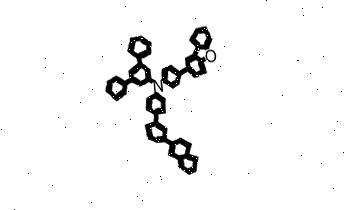 c1ccc(-c2cc(-c3ccccc3)cc(N(c3ccc(-c4cccc(-c5ccc6ccccc6c5)c4)cc3)c3ccc(-c4ccc5oc6ccccc6c5c4)cc3)c2)cc1